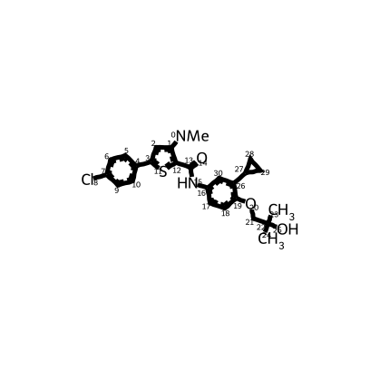 CNc1cc(-c2ccc(Cl)cc2)sc1C(=O)Nc1ccc(OCC(C)(C)O)c(C2CC2)c1